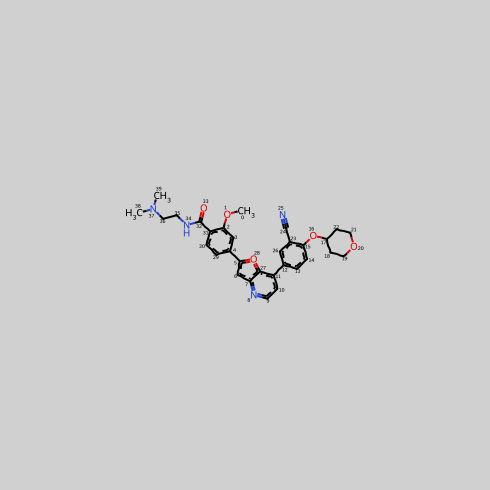 COc1cc(-c2cc3nccc(-c4ccc(OC5CCOCC5)c(C#N)c4)c3o2)ccc1C(=O)NCCN(C)C